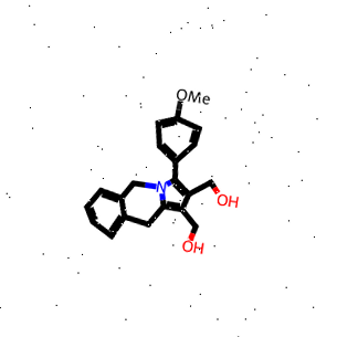 COc1ccc(-c2c(CO)c(CO)c3n2Cc2ccccc2C3)cc1